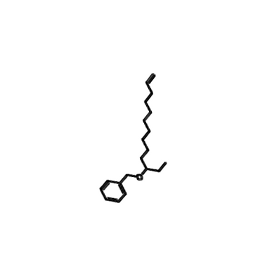 C=CCCCCCCCCC(CC)OCc1ccccc1